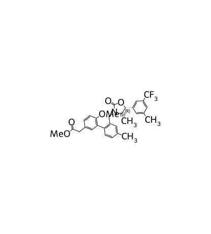 COC(=O)Cc1ccc(OC)c(-c2ccc(C)cc2CN2C(=O)O[C@H](c3cc(C)cc(C(F)(F)F)c3)[C@@H]2C)c1